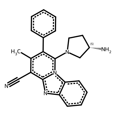 Cc1c(-c2ccccc2)c(N2CC[C@H](N)C2)n2c(nc3ccccc32)c1C#N